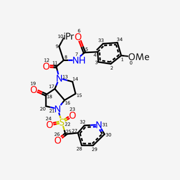 COc1ccc(C(=O)NC(CC(C)C)C(=O)N2CCC3C2C(=O)CN3S(=O)(=O)C(=O)c2cccnc2)cc1